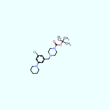 CC(C)(C)OC(=O)N1CCN(Cc2cc(Cl)cc(N3CCCCC3)c2)CC1